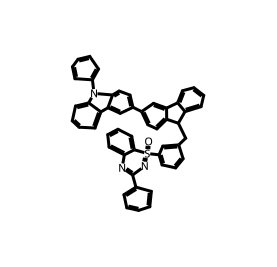 O=S1(c2cccc(CC3c4ccccc4-c4cc(-c5ccc6c(c5)c5ccccc5n6-c5ccccc5)ccc43)c2)=NC(c2ccccc2)=Nc2ccccc21